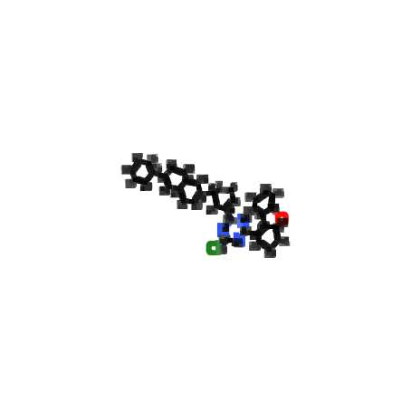 Clc1nc(-c2cccc(-c3ccc4cc(-c5ccccc5)ccc4c3)c2)nc(-c2cccc3oc4ccccc4c23)n1